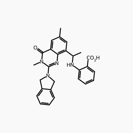 Cc1cc(C(C)Nc2ccccc2C(=O)O)c2nc(N3Cc4ccccc4C3)n(C)c(=O)c2c1